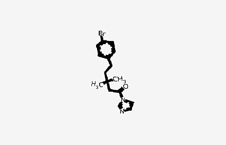 CC(C)(CCc1ccc(Br)cc1)CC(=O)n1ccnc1